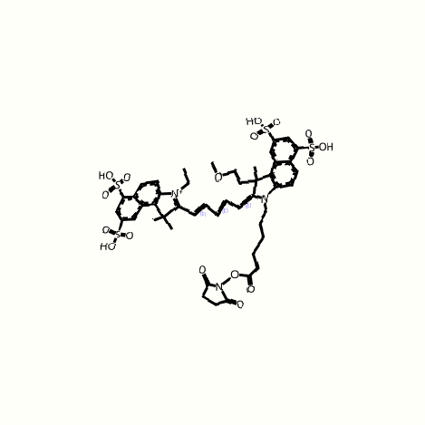 CC[N+]1=C(/C=C/C=C/C=C2/N(CCCCCC(=O)ON3C(=O)CCC3=O)c3ccc4c(S(=O)(=O)O)cc(S(=O)(=O)O)cc4c3C2(C)CCOC)C(C)(C)c2c1ccc1c(S(=O)(=O)O)cc(S(=O)(=O)O)cc21